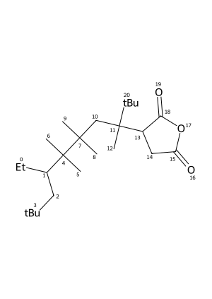 CCC(CC(C)(C)C)C(C)(C)C(C)(C)CC(C)(C1CC(=O)OC1=O)C(C)(C)C